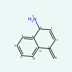 C=C1C=CC(N)c2ccccc21